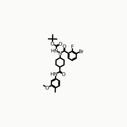 COc1cc(NC(=O)C2CCC(N(NC(=O)OC(C)(C)C)C(=O)c3cccc(Br)c3F)CC2)ccc1C